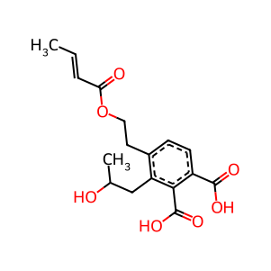 CC=CC(=O)OCCc1ccc(C(=O)O)c(C(=O)O)c1CC(C)O